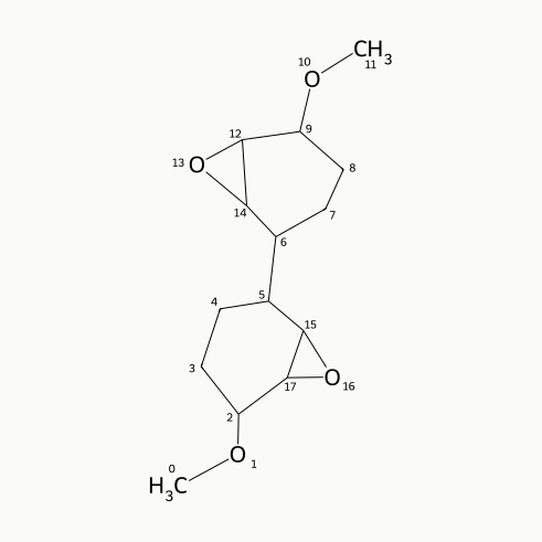 COC1CCC(C2CCC(OC)C3OC23)C2OC12